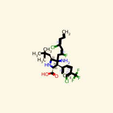 C=C/C=C(Cl)\C=C(\F)CC1(N)[C@H](CC(C)(C)C)N[C@@H](C(=O)O)[C@@H]1C(/C=C\C(=C\Cl)C(F)(F)F)=C/C